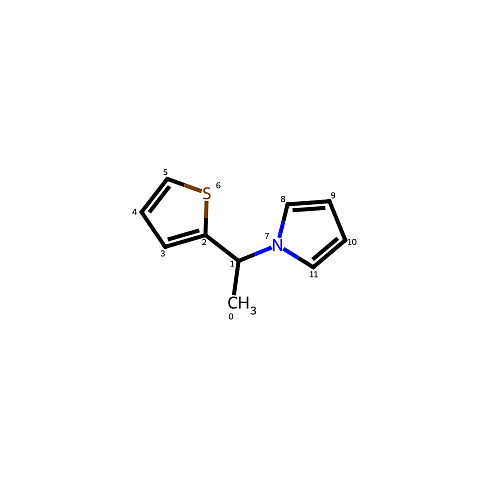 CC(c1cccs1)n1cccc1